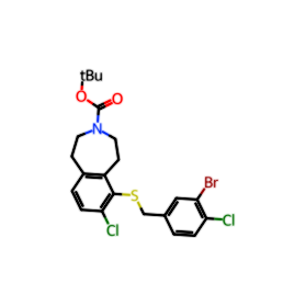 CC(C)(C)OC(=O)N1CCc2ccc(Cl)c(SCc3ccc(Cl)c(Br)c3)c2CC1